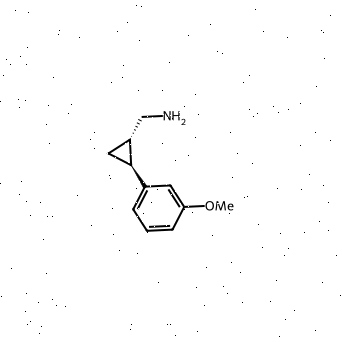 COc1cccc([C@H]2C[C@@H]2CN)c1